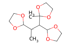 C[C](C1OCCO1)C(C1OCCO1)C1(C)OCCO1